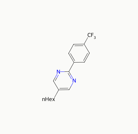 CCCCCCc1cnc(-c2ccc(C(F)(F)F)cc2)nc1